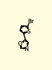 Brc1ccc(-c2cnco2)s1